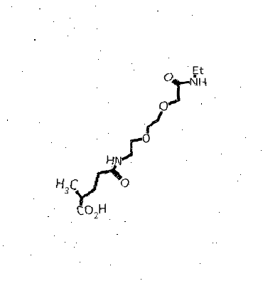 CCNC(=O)COCCOCCNC(=O)CCC(C)C(=O)O